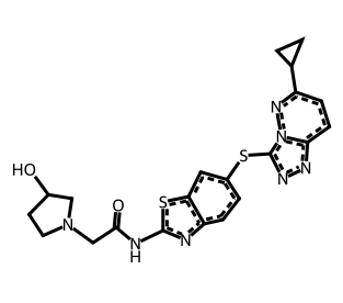 O=C(CN1CCC(O)C1)Nc1nc2ccc(Sc3nnc4ccc(C5CC5)nn34)cc2s1